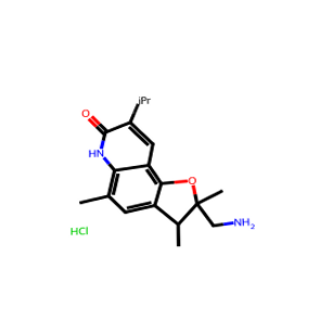 Cc1cc2c(c3cc(C(C)C)c(=O)[nH]c13)OC(C)(CN)C2C.Cl